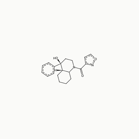 O=C(c1ccon1)N1CC[C@@](O)(c2ccccc2)[C@H]2CCCCC21